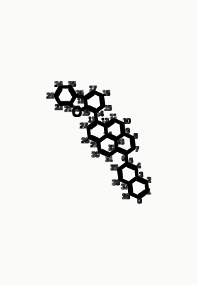 c1ccc2cc(-c3ccc4ccc5c(-c6cccc7c6oc6ccccc67)ccc6ccc3c4c65)ccc2c1